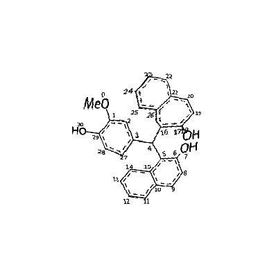 COc1cc(C(c2c(O)ccc3ccccc23)c2c(O)ccc3ccccc23)ccc1O